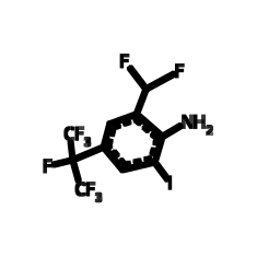 Nc1c(I)cc(C(F)(C(F)(F)F)C(F)(F)F)cc1C(F)F